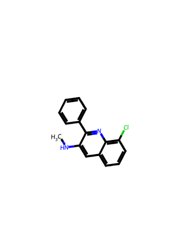 CNc1cc2cccc(Cl)c2nc1-c1ccccc1